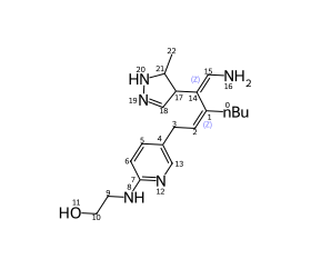 CCCCC(=C/Cc1ccc(NCCO)nc1)/C(=C\N)C1C=NNC1C